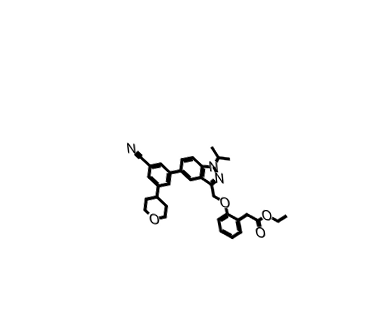 CCOC(=O)Cc1ccccc1OCc1nn(C(C)C)c2ccc(-c3cc(C#N)cc(C4CCOCC4)c3)cc12